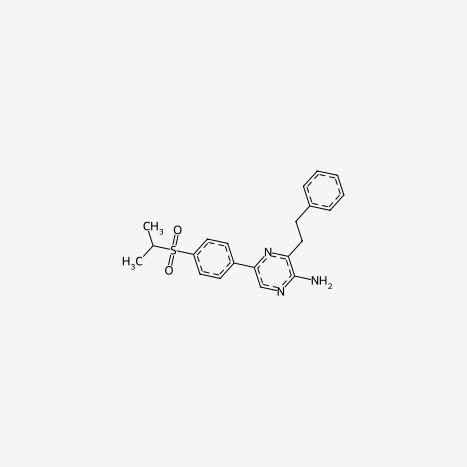 CC(C)S(=O)(=O)c1ccc(-c2cnc(N)c(CCc3ccccc3)n2)cc1